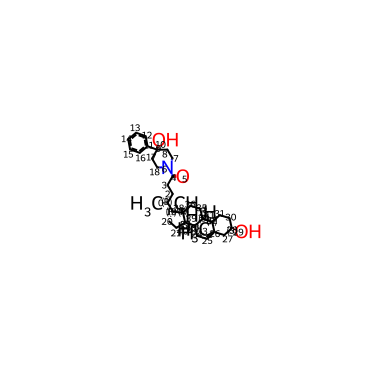 C[C@H](CCC(=O)N1CCC(O)(c2ccccc2)CC1)[C@H]1CC[C@H]2[C@@H]3CC=C4C[C@@H](O)CC[C@]4(C)[C@H]3CC[C@]12C